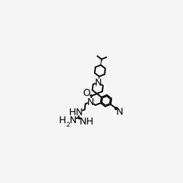 CC(C)[C@H]1CC[C@@H](N2CCC3(CC2)C(=O)N(CCNC(=N)N)Cc2cc(C#N)ccc23)CC1